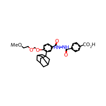 COCCOCOc1ccc(C(=O)NNC(=O)c2ccc(C(=O)O)cc2)cc1C12CC3CC(CC(C3)C1)C2